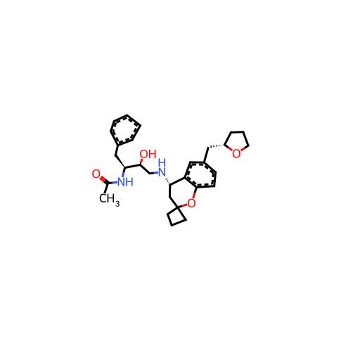 CC(=O)N[C@@H](Cc1ccccc1)[C@@H](O)CN[C@H]1CC2(CCC2)Oc2ccc(C[C@@H]3CCCO3)cc21